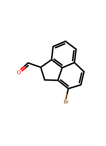 O=CC1Cc2c(Br)ccc3cccc1c23